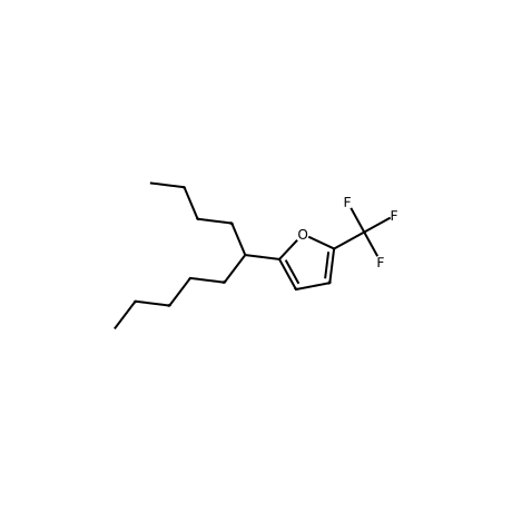 CCCCCC(CCCC)c1ccc(C(F)(F)F)o1